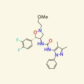 COCCN1C[C@@H](NC(=O)Nc2c(C)c(C)nn2-c2ccccc2)[C@H](c2ccc(F)c(F)c2)O1